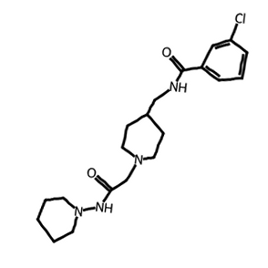 O=C(CN1CCC(CNC(=O)c2cccc(Cl)c2)CC1)NN1CCCCC1